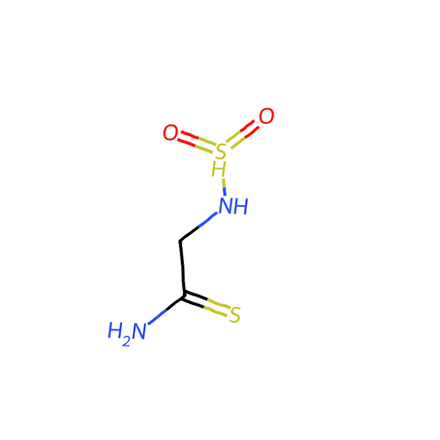 NC(=S)CN[SH](=O)=O